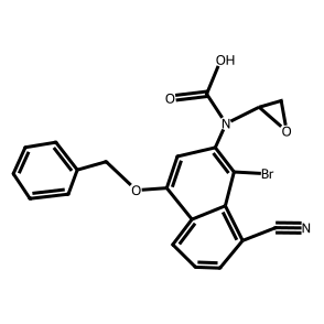 N#Cc1cccc2c(OCc3ccccc3)cc(N(C(=O)O)C3CO3)c(Br)c12